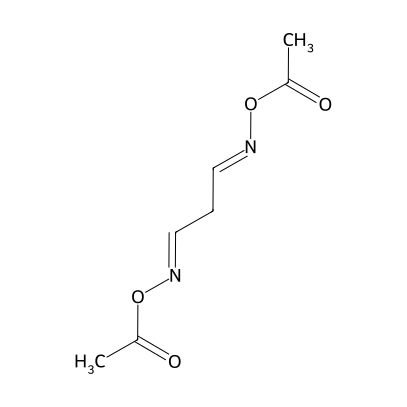 CC(=O)ON=CCC=NOC(C)=O